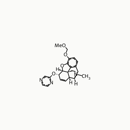 COCOc1ccc2c3c1O[C@H]1[C@@H](Oc4cnccn4)C=C[C@H]4[C@@H](C2)N(C)CC[C@@]341